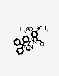 COc1cc2c(CCl)nn(Cc3nccn3C(c3ccccc3)(c3ccccc3)c3ccccc3)c2cc1OC